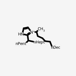 CCCCCCCCCCCCCCC(C)[n+]1cc[nH]c1C(CCCCC)CCCCCCC